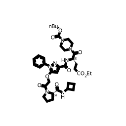 CCCCOC(=O)N1CCN(C(=O)[C@H](CCC(=O)OCC)NC(=O)c2cc(OCC(=O)N3CCC[C@H]3C(=O)NC3CCC3)n(-c3ccccc3)n2)CC1